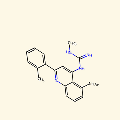 CC(=O)Nc1cccc2nc(-c3ccccc3C)cc(NC(=N)NC=O)c12